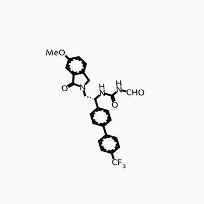 COc1ccc2c(c1)C(=O)N(C[C@H](NC(=O)NC=O)c1ccc(-c3ccc(C(F)(F)F)cc3)cc1)C2